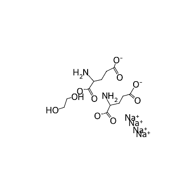 NC(CCC(=O)[O-])C(=O)[O-].NC(CCC(=O)[O-])C(=O)[O-].OCCO.[Na+].[Na+].[Na+].[Na+]